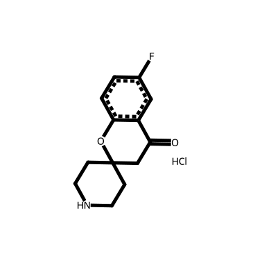 Cl.O=C1CC2(CCNCC2)Oc2ccc(F)cc21